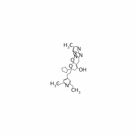 CCc1cc(CCC2(C3CCCC3)CC(O)=C(Cc3nc4ncc(C)cn4n3)C(=O)O2)cc(CC)n1